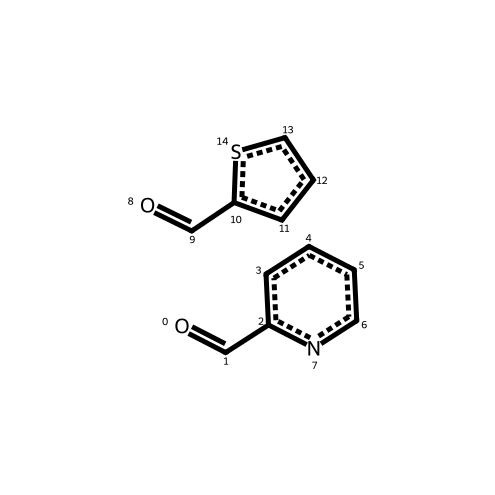 O=Cc1ccccn1.O=Cc1cccs1